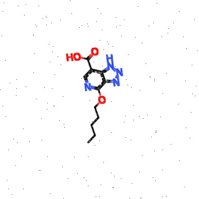 CCCCCOc1ncc(C(=O)O)c2[nH]nnc12